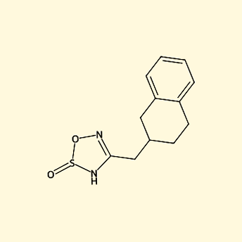 O=S1NC(CC2CCc3ccccc3C2)=NO1